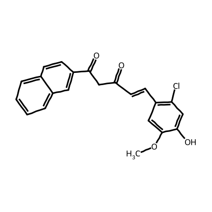 COc1cc(C=CC(=O)CC(=O)c2ccc3ccccc3c2)c(Cl)cc1O